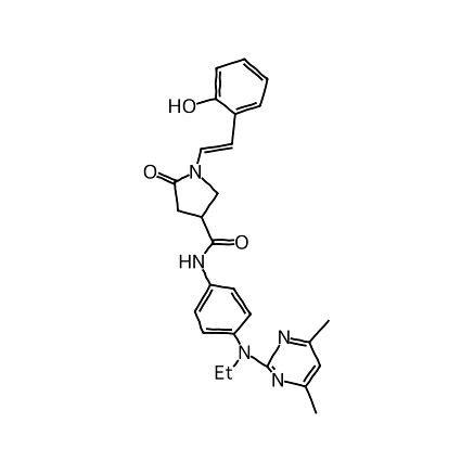 CCN(c1ccc(NC(=O)C2CC(=O)N(C=Cc3ccccc3O)C2)cc1)c1nc(C)cc(C)n1